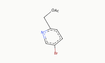 CC(=O)OCc1ccc(Br)cn1